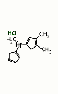 Cl.[CH2]=[Hf]([C]1=CC=CC1)[C]1=CC(C)=C(C)C1